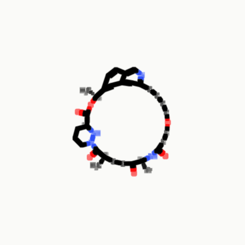 CC(C)[C@@H]1NC(=O)CCOCCCCc2cc3cc(ccc3cn2)[C@@H](C)OC(=O)[C@@H]2CCCN(N2)C(=O)[C@H](C)CCC1=O